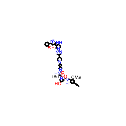 CC#Cc1ccc(CNC(=O)[C@@H]2C[C@@H](O)CN2C(=O)[C@@H](NC(=O)N2CC3(CC(N4CCC(c5cnc(N6CCc7[nH]c8nnc(-c9ccccc9O)cc8c7[C@H]6C)nc5)CC4)C3)C2)C(C)(C)C)c(OC)c1